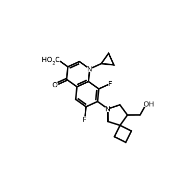 O=C(O)c1cn(C2CC2)c2c(F)c(N3CC(CO)C4(CCC4)C3)c(F)cc2c1=O